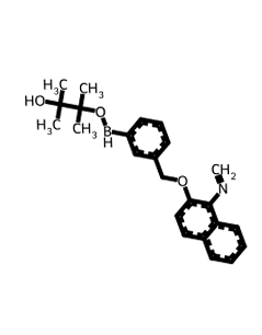 C=Nc1c(OCc2cccc(BOC(C)(C)C(C)(C)O)c2)ccc2ccccc12